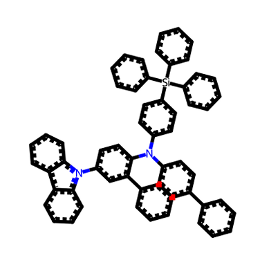 c1ccc(-c2ccc(N(c3ccc([Si](c4ccccc4)(c4ccccc4)c4ccccc4)cc3)c3ccc(-n4c5ccccc5c5ccccc54)cc3-c3ccccc3)cc2)cc1